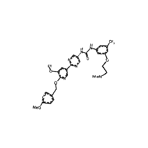 CCOc1cc(-c2ncc(NC(=O)Nc3cc(OCCNC)cc(C(F)(F)F)c3)cn2)cnc1OCc1ccc(OC)cc1